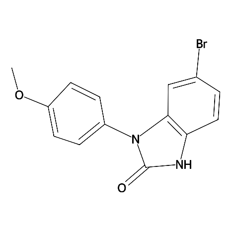 COc1ccc(-n2c(=O)[nH]c3ccc(Br)cc32)cc1